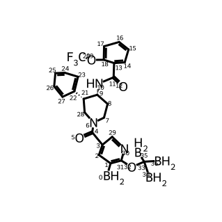 Bc1cc(C(=O)N2CC[C@@H](NC(=O)c3ccccc3OC(F)(F)F)[C@@H](c3ccccc3)C2)cnc1OC(B)(B)B